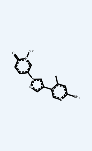 CCCn1cc(-n2cc(-c3cnc(N)cc3C)cn2)ccc1=O